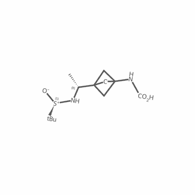 C[C@@H](N[S@+]([O-])C(C)(C)C)C12CC(NC(=O)O)(C1)C2